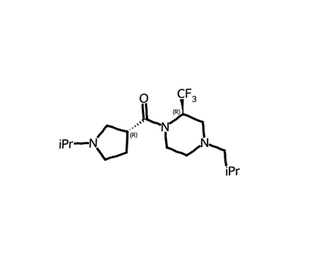 CC(C)CN1CCN(C(=O)[C@@H]2CCN(C(C)C)C2)[C@@H](C(F)(F)F)C1